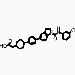 O=C(O)CC1CCC(c2ccc(-c3ccc4c(c3)CCN4C(=O)Nc3cccc(Cl)c3)cc2)CC1